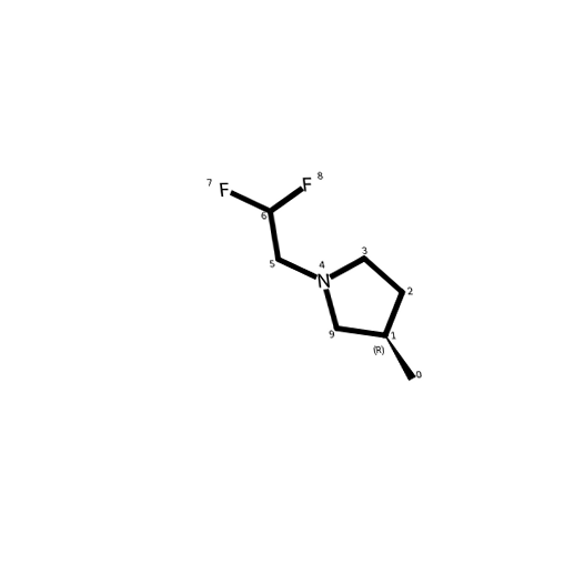 C[C@@H]1CCN(CC(F)F)C1